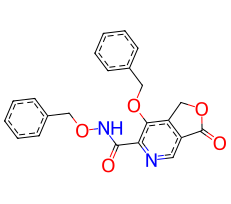 O=C1OCc2c1cnc(C(=O)NOCc1ccccc1)c2OCc1ccccc1